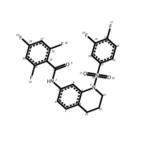 O=C(Nc1ccc2c(c1)N(S(=O)(=O)c1ccc(F)c(F)c1)CCC2)c1c(F)cc(F)cc1F